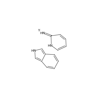 N=c1cccc[nH]1.[Y].c1ccc2c[nH]cc2c1